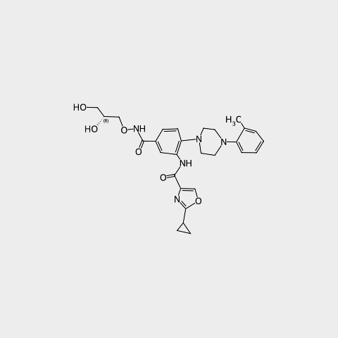 Cc1ccccc1N1CCN(c2ccc(C(=O)NOC[C@H](O)CO)cc2NC(=O)c2coc(C3CC3)n2)CC1